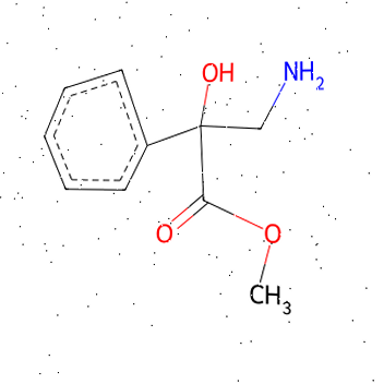 COC(=O)C(O)(CN)c1ccccc1